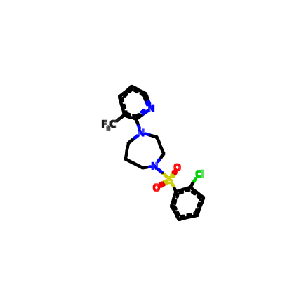 O=S(=O)(c1ccccc1Cl)N1CCCN(c2ncccc2C(F)(F)F)CC1